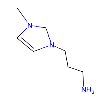 CN1C=CN(CCCN)C1